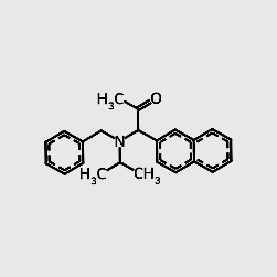 CC(=O)C(c1ccc2ccccc2c1)N(Cc1ccccc1)C(C)C